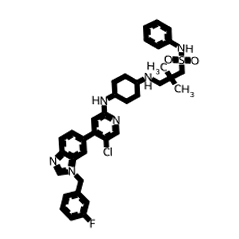 CC(C)(CNC1CCC(Nc2cc(-c3ccc4ncn(Cc5cccc(F)c5)c4c3)c(Cl)cn2)CC1)CS(=O)(=O)Nc1ccccc1